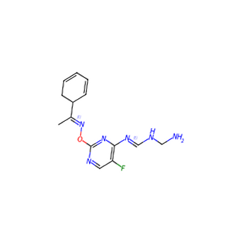 C/C(=N\Oc1ncc(F)c(/N=C/NCN)n1)C1C=CC=CC1